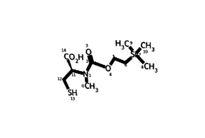 CN(C(=O)OCC[Si](C)(C)C)[C@@H](CS)C(=O)O